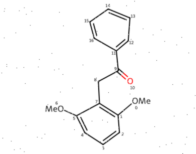 COc1cccc(OC)c1CC(=O)c1ccccc1